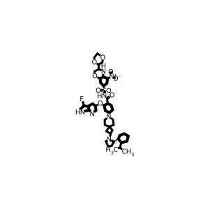 CC(C)c1ccccc1[C@H]1CCCN1C1CC2(CCN(c3ccc(C(=O)NS(=O)(=O)c4cc5c(c([N+](=O)[O-])c4)NC(C4COCCO4)CO5)c(Oc4cnc5[nH]cc(F)c5c4)c3)CC2)C1